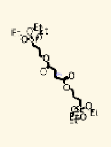 CCO[Si](CCCOC(=O)/C=C/C(=O)OCCC[Si](OCC)(OCC)OCC)(OCC)OCC